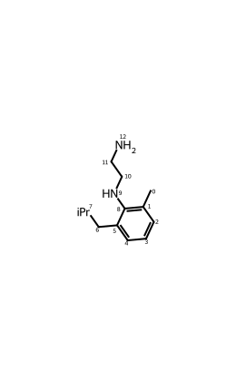 Cc1cccc(CC(C)C)c1NCCN